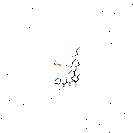 CCn1c(=O)c(-c2cc(NC(=O)Nc3ccccc3)c(F)cc2C)cc2cnc(NCCOC)cc21.CS(=O)(=O)O